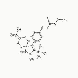 CCOC(=O)COc1ccc(N2C(C(C)(C)C)N(C)C(=O)C23CCN(C(=O)O)CC3)cc1